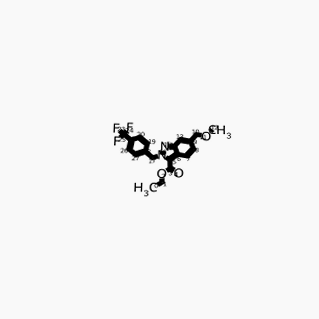 CCOC(=O)c1c2ccc(COC)cc2nn1Cc1ccc(C(F)(F)F)cc1